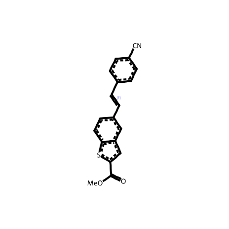 COC(=O)c1cc2cc(/C=C/c3ccc(C#N)cc3)ccc2s1